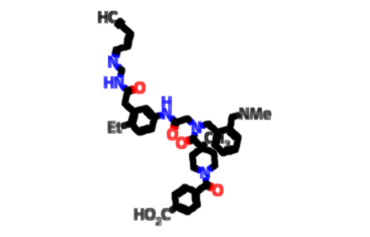 C#C/C=C\C=N/CNC(=O)Cc1cc(NC(=O)CN(Cc2ccccc2CNC)C(=O)C2(C)CCN(C(=O)c3ccc(C(=O)O)cc3)CC2)ccc1CC